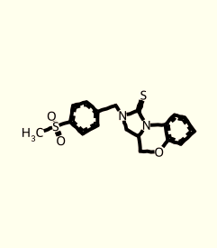 CS(=O)(=O)c1ccc(CN2CC3COc4ccccc4N3C2=S)cc1